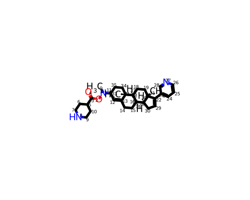 CN(OC(=O)C1CCNCC1)C1C=C2CC[C@H]3[C@H](CC[C@]4(C)C(c5cccnc5)=CC[C@@H]34)[C@@]2(C)CC1